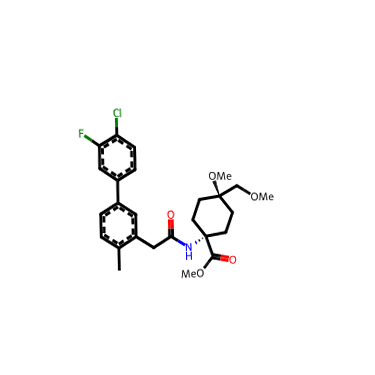 COC[C@]1(OC)CC[C@@](NC(=O)Cc2cc(-c3ccc(Cl)c(F)c3)ccc2C)(C(=O)OC)CC1